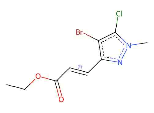 CCOC(=O)/C=C/c1nn(C)c(Cl)c1Br